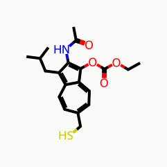 CCOC(=O)Oc1c2ccc(CS)ccc-2c(CC(C)C)c1NC(C)=O